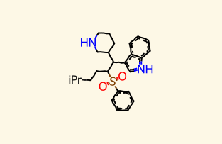 CC(C)CCC(C(c1c[nH]c2ccccc12)C1CCCNC1)S(=O)(=O)c1ccccc1